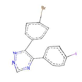 Brc1ccc(-c2nncnc2-c2ccc(I)cc2)cc1